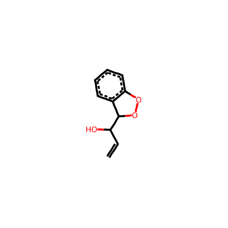 C=CC(O)C1OOc2ccccc21